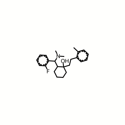 Cc1ccccc1CCC1(O)CCCCC1C(c1ccccc1F)N(C)C